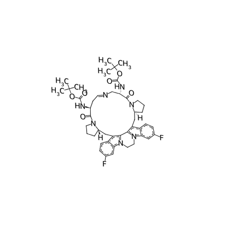 CC(C)(C)OC(=O)N[C@H]1C/C=N/C[C@H](NC(=O)OC(C)(C)C)C(=O)N2CCC[C@H]2Cc2c3n(c4cc(F)ccc24)CCn2c-3c(c3ccc(F)cc32)C[C@@H]2CCCN2C1=O